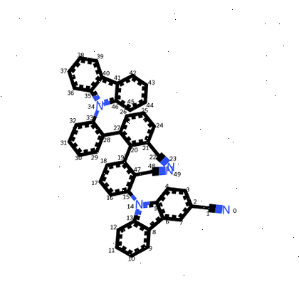 N#Cc1ccc2c(c1)c1ccccc1n2-c1cccc(-c2c(C#N)cccc2-c2ccccc2-n2c3ccccc3c3ccccc32)c1C#N